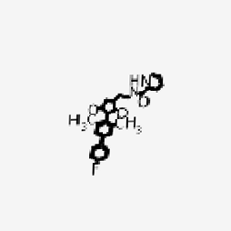 Cc1cc(-c2ccc(F)cc2)cc(C)c1C1C(=O)CC(CCNC(=O)c2ccccn2)C1=O